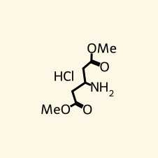 COC(=O)CC(N)CC(=O)OC.Cl